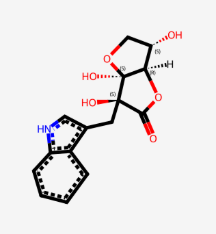 O=C1O[C@@H]2[C@@H](O)CO[C@]2(O)[C@@]1(O)Cc1c[nH]c2ccccc12